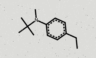 CCc1ccc(N(C)C(C)(C)C)cc1